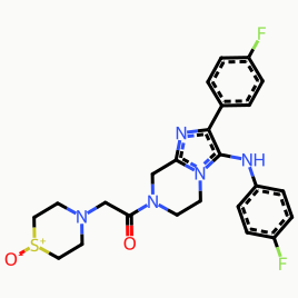 O=C(CN1CC[S+]([O-])CC1)N1CCn2c(nc(-c3ccc(F)cc3)c2Nc2ccc(F)cc2)C1